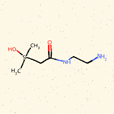 C[Si](C)(O)CC(=O)NCCN